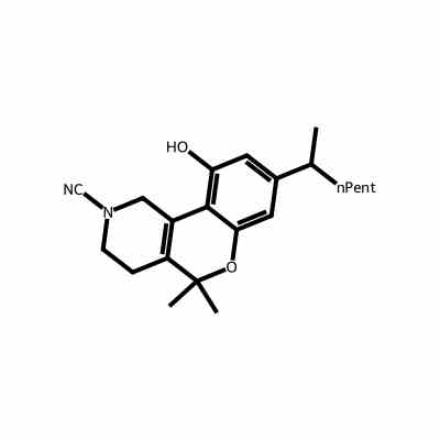 CCCCCC(C)c1cc(O)c2c(c1)OC(C)(C)C1=C2CN(C#N)CC1